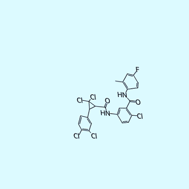 Cc1cc(F)ccc1NC(=O)c1cc(NC(=O)C2C(c3ccc(Cl)c(Cl)c3)C2(Cl)Cl)ccc1Cl